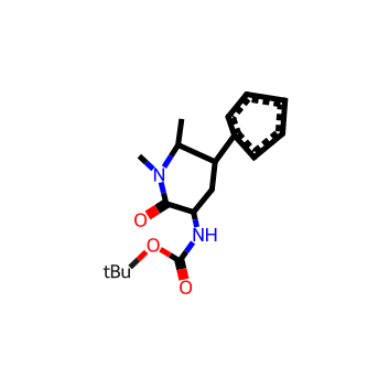 CC1C(c2ccccc2)CC(NC(=O)OC(C)(C)C)C(=O)N1C